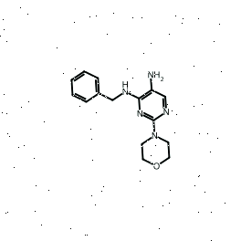 Nc1cnc(N2CCOCC2)nc1NCc1ccccc1